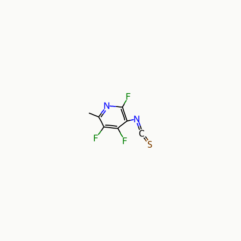 Cc1nc(F)c(N=C=S)c(F)c1F